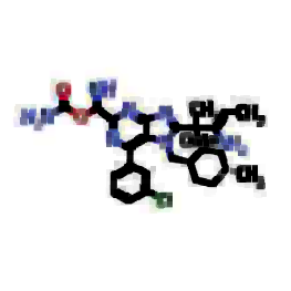 C/C=C(\N)C(C)(OC)c1nc2nc(C(=N)OC(N)=O)nc(-c3cccc(Cl)c3)c2n1C[C@H]1CC[C@H](C)CC1